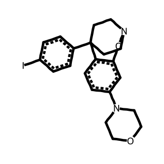 Ic1ccc(C23CCN(CC2)Cc2cc(N4CCOCC4)ccc23)cc1